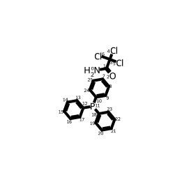 NC(=O)C(Cl)(Cl)Cl.c1ccc(P(c2ccccc2)c2ccccc2)cc1